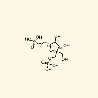 O=P(O)(O)OC[C@H]1O[C@@](CO)(COP(=O)(O)O)[C@@H](O)[C@@H]1O